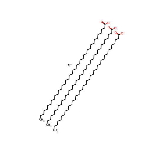 CCCCCCCCCCCCCCCCCCCCCCCCCCCCCCCCCCCCCC(=O)[O-].CCCCCCCCCCCCCCCCCCCCCCCCCCCCCCCCCCCCCC(=O)[O-].CCCCCCCCCCCCCCCCCCCCCCCCCCCCCCCCCCCCCC(=O)[O-].[Al+3]